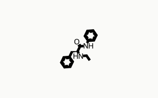 CCN[C@@H](Cc1ccccc1)C(=O)Nc1ccccc1